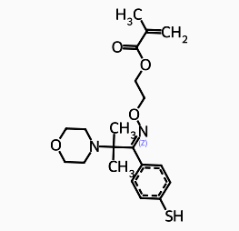 C=C(C)C(=O)OCCO/N=C(/c1ccc(S)cc1)C(C)(C)N1CCOCC1